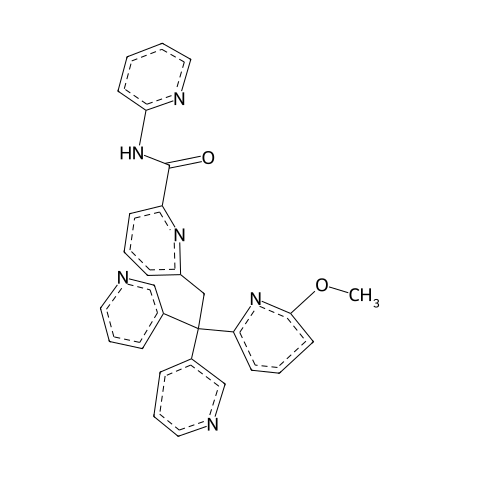 COc1cccc(C(Cc2cccc(C(=O)Nc3ccccn3)n2)(c2cccnc2)c2cccnc2)n1